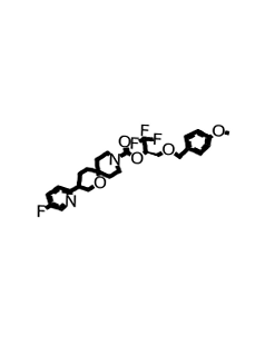 COc1ccc(COC[C@@H](OC(=O)N2CCC3(CCC(c4ccc(F)cn4)CO3)CC2)C(F)(F)F)cc1